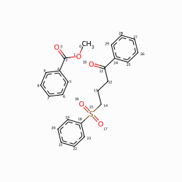 COC(=O)c1ccccc1.O=C(CCCS(=O)(=O)c1ccccc1)c1ccccc1